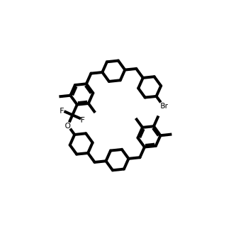 Cc1cc(CC2CCC(CC3CCC(OC(F)(F)c4c(C)cc(CC5CCC(CC6CCC(Br)CC6)CC5)cc4C)CC3)CC2)cc(C)c1C